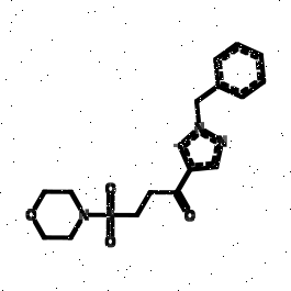 O=C(CCS(=O)(=O)N1CCOCC1)c1[c]n(Cc2ccccc2)nc1